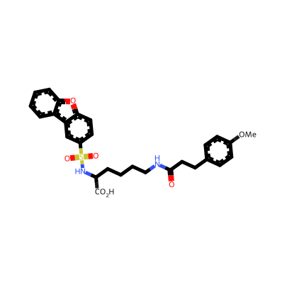 COc1ccc(CCC(=O)NCCCCC(NS(=O)(=O)c2ccc3oc4ccccc4c3c2)C(=O)O)cc1